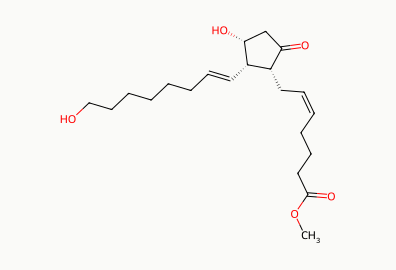 COC(=O)CCC/C=C\C[C@H]1C(=O)C[C@@H](O)[C@H]1C=CCCCCCCO